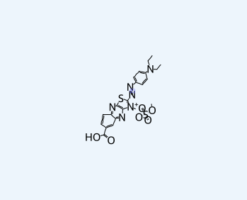 CCN(CC)c1ccc(/N=N/c2sc3nc4ccc(C(=O)O)cc4nc3[n+]2C)cc1.COS(=O)(=O)[O-]